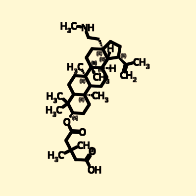 C=C(C)[C@@H]1CC[C@]2(CCNC)CC[C@]3(C)[C@H](CCC4[C@@]5(C)CC[C@H](OC(=O)CC(C)(C)CC(=O)O)C(C)(C)C5CC[C@]43C)[C@@H]12